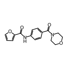 O=C(Nc1ccc(C(=O)N2CCOCC2)cc1)c1ccco1